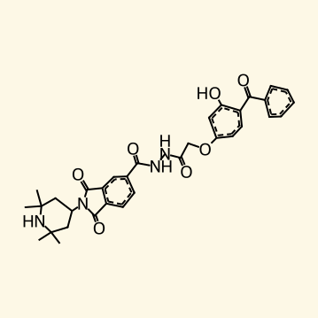 CC1(C)CC(N2C(=O)c3ccc(C(=O)NNC(=O)COc4ccc(C(=O)c5ccccc5)c(O)c4)cc3C2=O)CC(C)(C)N1